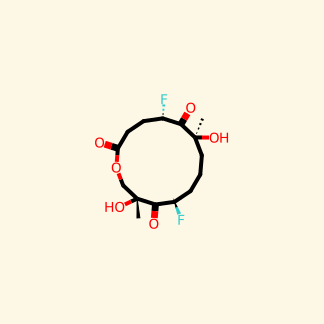 C[C@]1(O)CCC[C@@H](F)C(=O)[C@](C)(O)COC(=O)CC[C@H](F)C1=O